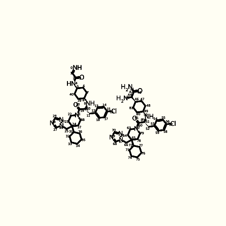 N=CC(=O)N[C@H]1CC[C@@H](N[C@H](Cc2ccc(Cl)cc2)C(=O)N2CCC(Cn3cncn3)(C3CCCCC3)CC2)CC1.NC(=O)C(N)[C@H]1CC[C@H](N[C@H](Cc2ccc(Cl)cc2)C(=O)N2CCC(Cn3cncn3)(C3CCCCC3)CC2)CC1